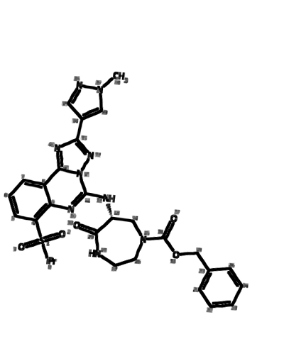 CC(C)S(=O)(=O)c1cccc2c1nc(N[C@@H]1CN(C(=O)OCc3ccccc3)CCNC1=O)n1nc(-c3cnn(C)c3)nc21